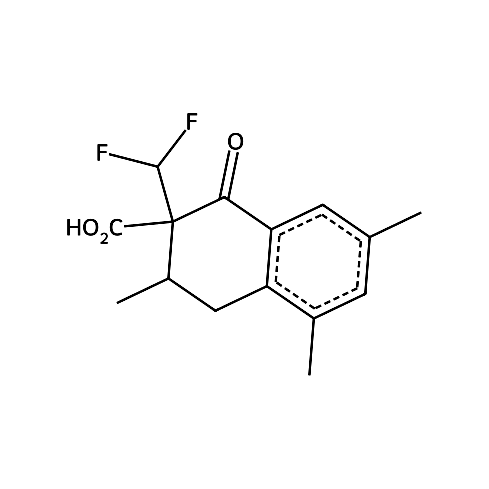 Cc1cc(C)c2c(c1)C(=O)C(C(=O)O)(C(F)F)C(C)C2